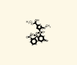 COC(=N)c1cc(S(=O)(=NS(=O)(=O)c2ccccc2[N+](=O)[O-])c2cccc(Br)c2)c(SC)s1